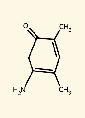 CC1=CC(C)=C(N)CC1=O